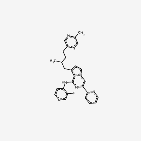 Cc1cnc(CCC(C)Cc2ccn3nc(-c4ccccn4)nc(Nc4ccncc4F)c23)cn1